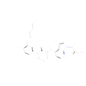 CCCCCOc1cc(N2CCCN(Cc3ccnc4c3c(Cl)cn4C(C)C(=O)O)C2=O)ccc1OC